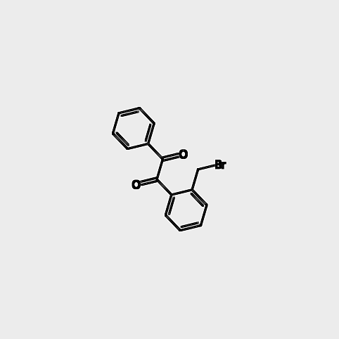 O=C(C(=O)c1ccccc1CBr)c1ccccc1